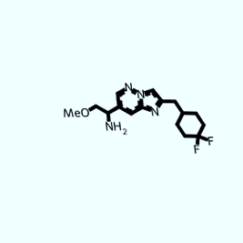 COCC(N)c1cnn2cc(CC3CCC(F)(F)CC3)nc2c1